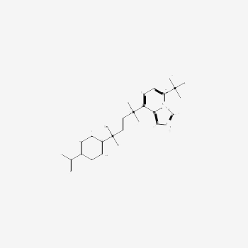 CC(C)C1CCC(C(C)(C)CCC(C)(C)c2ccc(C(C)(C)C)n3cncc23)CC1